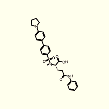 O=C(CC[C@H](NS(=O)(=O)c1ccc(-c2ccc(N3CCCC3)cc2)cc1)C(=O)O)Nc1ccccc1